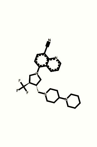 N#Cc1ccc(N2C[C@H](CN3CCC(N4CCCCC4)CC3)[C@@H](C(F)(F)F)C2)c2cccnc12